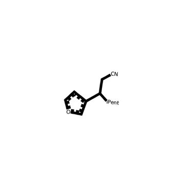 CCCC(C)C(CC#N)c1ccoc1